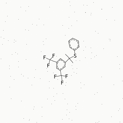 CC(C)(Sc1ccccc1)c1cc(C(F)(F)F)cc(C(F)(F)F)c1